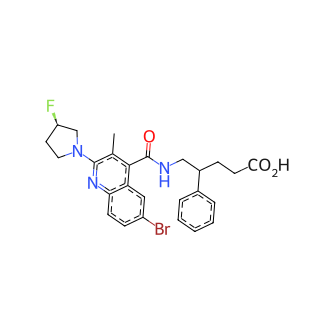 Cc1c(N2CC[C@@H](F)C2)nc2ccc(Br)cc2c1C(=O)NCC(CCC(=O)O)c1ccccc1